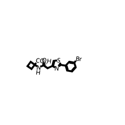 O=C(Cc1csc(-c2cccc(Br)c2)n1)NC1(C(=O)O)CCC1